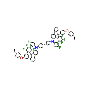 C=Cc1ccc(Oc2ccc(C3(c4c(F)c(F)c(F)c(F)c4F)c4ccccc4-c4ccc(N(c5ccc(F)cc5)c5ccc(-c6ccc(N(c7ccc(F)cc7)c7ccc8c(c7)C(c7ccc(Oc9ccc(C=C)cc9)cc7)(c7c(F)c(F)c(F)c(F)c7F)c7ccccc7-8)cc6)cc5)cc43)cc2)cc1